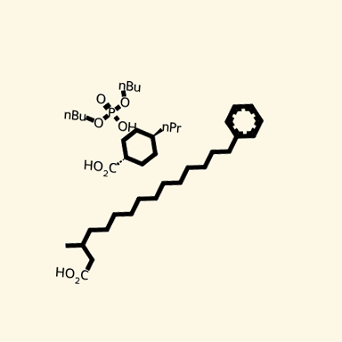 CC(CCCCCCCCCCCCc1ccccc1)CC(=O)O.CCCCOP(=O)(O)OCCCC.CCC[C@H]1CC[C@H](C(=O)O)CC1